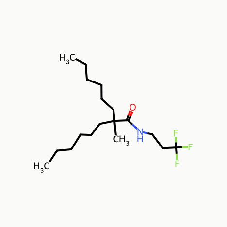 CCCCCCC(C)(CCCCCC)C(=O)NCCC(F)(F)F